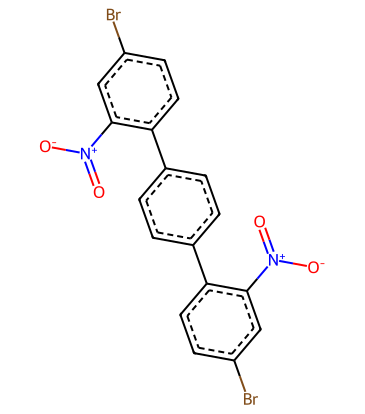 O=[N+]([O-])c1cc(Br)ccc1-c1ccc(-c2ccc(Br)cc2[N+](=O)[O-])cc1